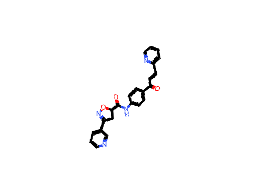 O=C(/C=C/c1ccccn1)c1ccc(NC(=O)C2CC(c3cccnc3)=NO2)cc1